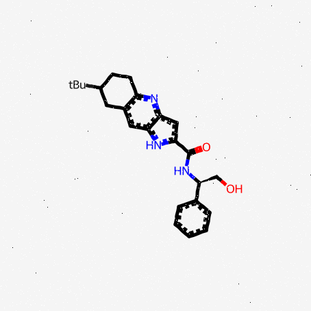 CC(C)(C)C1CCc2nc3cc(C(=O)N[C@@H](CO)c4ccccc4)[nH]c3cc2C1